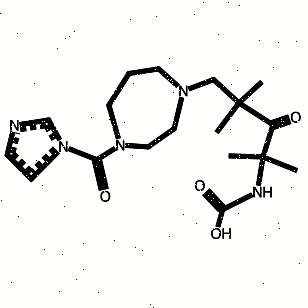 CC(C)(CN1CCCN(C(=O)n2ccnc2)CC1)C(=O)C(C)(C)NC(=O)O